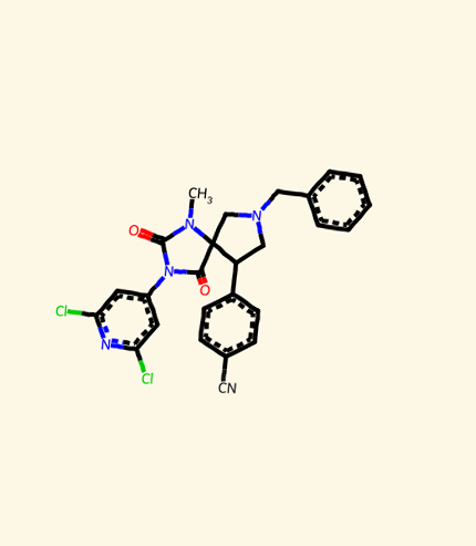 CN1C(=O)N(c2cc(Cl)nc(Cl)c2)C(=O)C12CN(Cc1ccccc1)CC2c1ccc(C#N)cc1